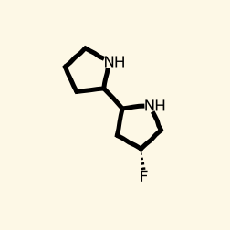 F[C@H]1CNC(C2CCCN2)C1